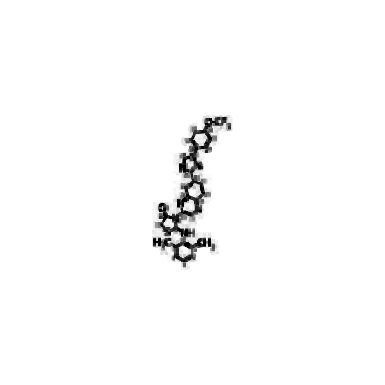 Cc1cccc(C)c1NC1SCC(=O)N1c1cnc2ccc(-c3ncn(-c4ccc(OC(F)(F)F)cc4)n3)cc2n1